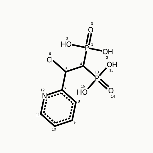 O=P(O)(O)C(C(Cl)c1ccccn1)P(=O)(O)O